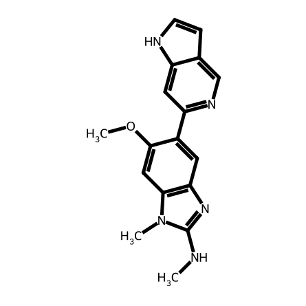 CNc1nc2cc(-c3cc4[nH]ccc4cn3)c(OC)cc2n1C